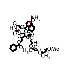 COCCC(C)(C)OCCC(C)(C)OCCOP(=O)(Oc1ccc(CON)cc1)OC1C(COC(=O)c2ccccc2)OC(n2ccc(=O)[nH]c2=O)C1OC(=O)c1ccccc1